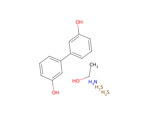 CCO.N.Oc1cccc(-c2cccc(O)c2)c1.S.S